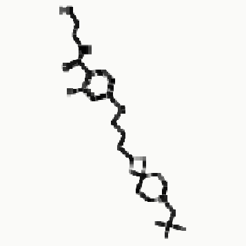 CC(C)(C)CN1CCC2(CC1)CC(CCCOc1ccc(C(=O)NCCO)c(F)c1)C2